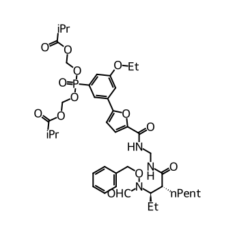 CCCCC[C@@H](C(=O)NCNC(=O)c1ccc(-c2cc(OCC)cc(P(=O)(OCOC(=O)C(C)C)OCOC(=O)C(C)C)c2)o1)[C@@H](CC)N(C=O)OCc1ccccc1